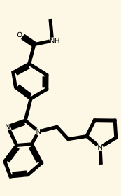 CNC(=O)c1ccc(-c2nc3ccccc3n2CCC2CCCN2C)cc1